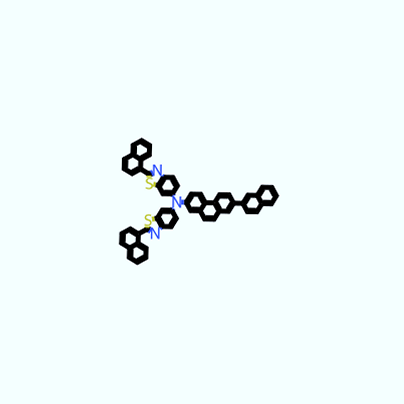 c1ccc2cc(-c3ccc4c(ccc5cc(N(c6ccc7nc(-c8cccc9ccccc89)sc7c6)c6ccc7nc(-c8cccc9ccccc89)sc7c6)ccc54)c3)ccc2c1